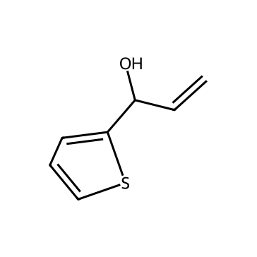 C=CC(O)c1cccs1